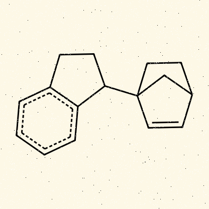 C1=CC2(C3CCc4ccccc43)CCC1C2